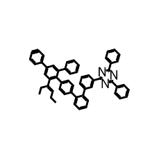 CC/C=C(\CC)c1cc(-c2cc#ccc2)cc(-c2ccccc2)c1-c1ccc(-c2ccccc2-c2cccc(-c3nc(-c4ccccc4)nc(-c4ccccc4)n3)c2)cc1